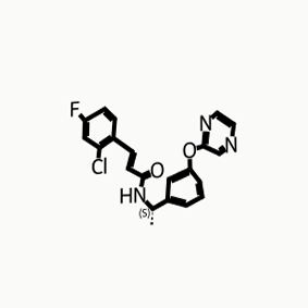 C[C@H](NC(=O)C=Cc1ccc(F)cc1Cl)c1cccc(Oc2cnccn2)c1